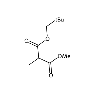 COC(=O)C(C)C(=O)OCC(C)(C)C